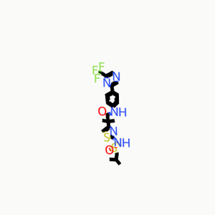 CC(C)C[S+]([O-])Nc1nc(C(C)(C)C(=O)Nc2ccc(-c3cncc(C(F)(F)F)n3)cc2)cs1